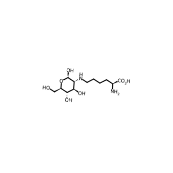 N[C@@H](CCCCN[C@@H]1[C@@H](O)[C@H](O)[C@@H](CO)O[C@H]1O)C(=O)O